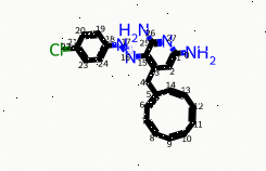 Nc1cc(Cc2ccccccccc2)c(/N=N/c2ccc(Cl)cc2)c(N)n1